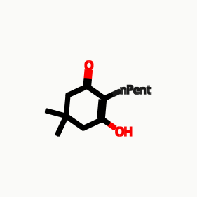 CCCCCC1=C(O)CC(C)(C)CC1=O